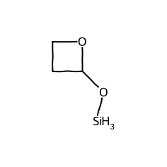 [SiH3]OC1CCO1